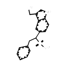 CNS(=O)(=O)C(Cc1ccccc1)c1ccc2[nH]cc(CC#N)c2c1